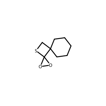 C1CCC2(CC1)CSC21OO1